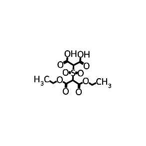 CCOC(=O)C(C(=O)OCC)S(=O)(=O)C(C(=O)O)C(=O)O